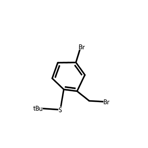 CC(C)(C)Sc1ccc(Br)cc1CBr